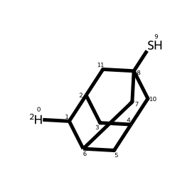 [2H]C1C2CC3CC1CC(S)(C3)C2